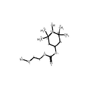 CCOCCOC(=O)OC1CC(C)(C)N(O)C(C)(C)C1